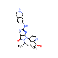 CC(O)c1cc(-n2c3nc(Nc4ccc5c(c4)CNCC5)ncc3c(=O)n2C(C)C)ccn1